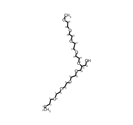 COCCOCCOCCOCCOCC(CO)OCCOCCOCCOCCOC